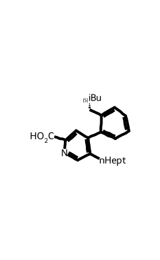 CCCCCCCc1cnc(C(=O)O)cc1-c1ccccc1C[C@@H](C)CC